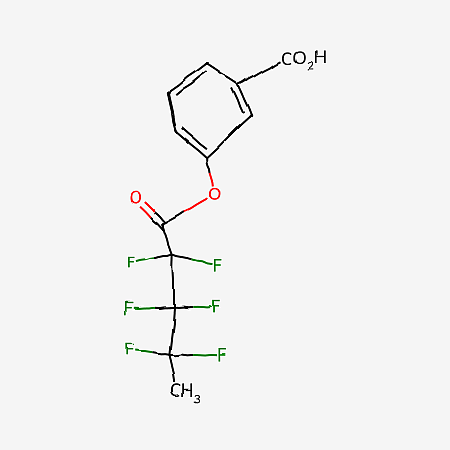 CC(F)(F)C(F)(F)C(F)(F)C(=O)Oc1cccc(C(=O)O)c1